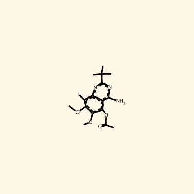 COc1c(OC)c(OC(C)=O)c2c(N)nc(C(C)(C)C)nc2c1I